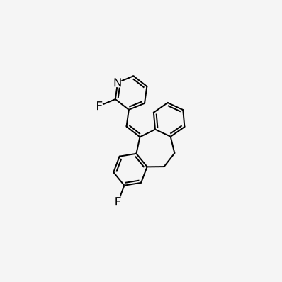 Fc1ccc2c(c1)CCc1ccccc1C2=Cc1cccnc1F